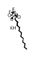 CCCCCCCCCCCCS(=O)(=O)S(=O)(=O)C(F)(F)F.[KH]